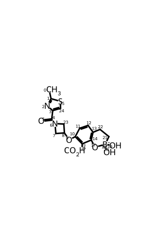 Cc1nc(C(=O)N2CC(Oc3ccc4c(c3C(=O)O)O[B-](O)(O)CC4)C2)cs1